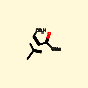 C=C(C)C.COC(=O)/C=C\C(=O)O